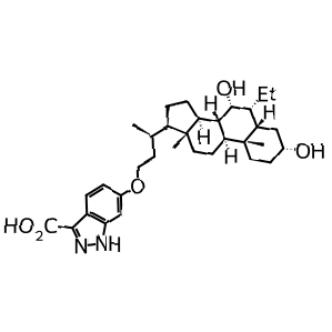 CC[C@H]1[C@@H](O)[C@@H]2[C@H](CC[C@]3(C)[C@@H]([C@H](C)CCOc4ccc5c(C(=O)O)n[nH]c5c4)CC[C@@H]23)[C@@]2(C)CC[C@@H](O)C[C@@H]12